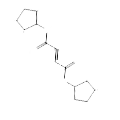 O=C(C=CC(=O)OC1CCCC1)OC1CCCC1